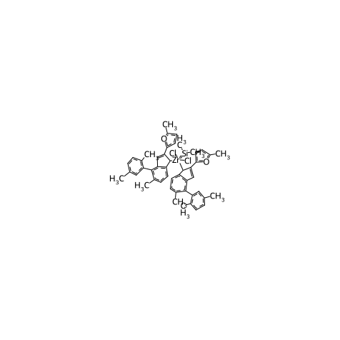 Cc1ccc(C)c(-c2c(C)ccc3c2C=C(c2ccc(C)o2)[CH]3[Zr]([Cl])([Cl])([CH]2C(c3ccc(C)o3)=Cc3c2ccc(C)c3-c2cc(C)ccc2C)=[Si](C)C)c1